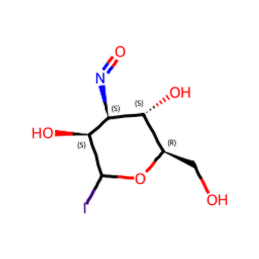 O=N[C@H]1[C@H](O)[C@@H](CO)OC(I)[C@H]1O